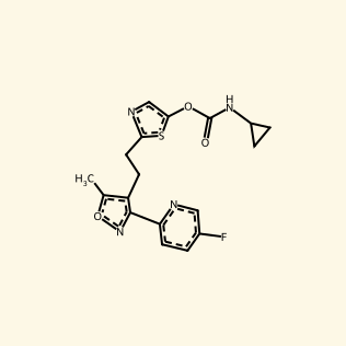 Cc1onc(-c2ccc(F)cn2)c1CCc1ncc(OC(=O)NC2CC2)s1